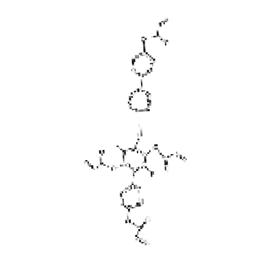 C=CC(=O)Oc1ccc(-c2ccc(C#Cc3c(F)c(OC(=O)C=C)c(-c4ccc(OC(=O)C=C)cc4)c(F)c3OC(=O)C=C)cc2)cc1